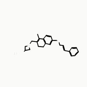 CC1=C(CN2CC(C(=O)O)C2)CCc2cc(OCC=Cc3ccccc3)ccc21.Cl